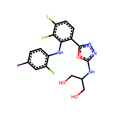 OCC(CO)Nc1nnc(-c2ccc(F)c(F)c2Nc2ccc(I)cc2F)o1